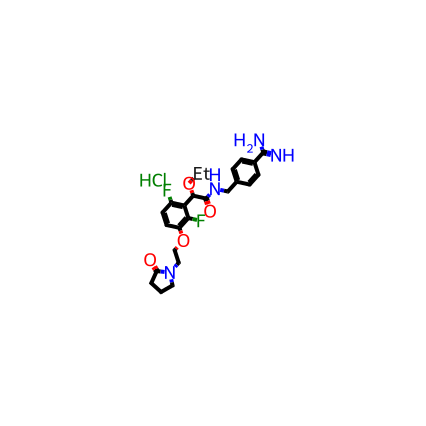 CCOC(C(=O)NCc1ccc(C(=N)N)cc1)c1c(F)ccc(OCCN2CCCC2=O)c1F.Cl